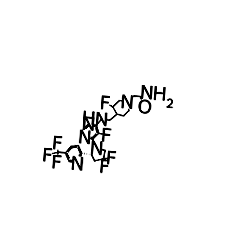 NC(=O)CN1CCC(CNc2ncnc(N3CC(F)(F)C[C@@H]3c3ccc(C(F)(F)F)cn3)c2F)C(F)C1